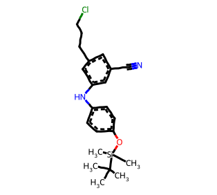 CC(C)(C)[Si](C)(C)Oc1ccc(Nc2cc(C#N)cc(CCCCl)c2)cc1